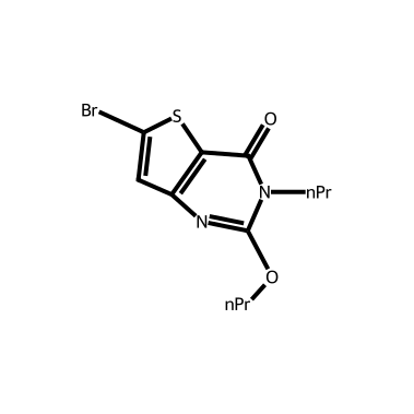 CCCOc1nc2cc(Br)sc2c(=O)n1CCC